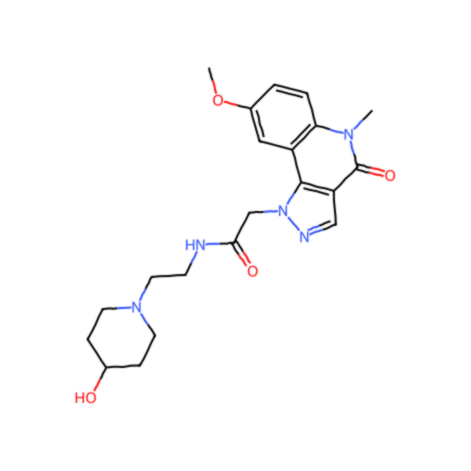 COc1ccc2c(c1)c1c(cnn1CC(=O)NCCN1CCC(O)CC1)c(=O)n2C